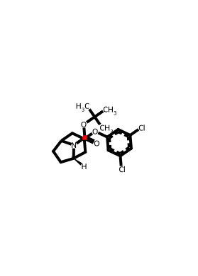 CC(C)(C)OC(=O)N1C2CC[C@H]1CC(Oc1cc(Cl)cc(Cl)c1)C2